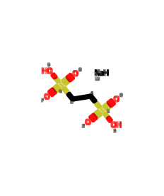 O=S(=O)(O)CCS(=O)(=O)O.[NaH]